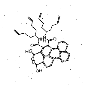 C=CCCC(CCC=C)NC(=O)c1c(C(=O)O)c2c(C(=O)O)ccc3c4cccc5cccc(c(c1C(=O)NC(CCC=C)CCC=C)c23)c54